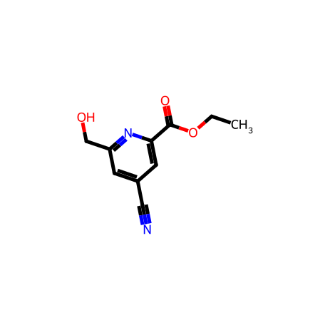 CCOC(=O)c1cc(C#N)cc(CO)n1